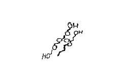 CCCCOC(=O)CCCO.OCCOCCOCCOCCO